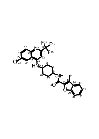 Cc1c(C(=O)NC2CCC(Nc3cc(C(F)(F)F)nc4ccc(Cl)cc34)CC2)oc2ccccc12